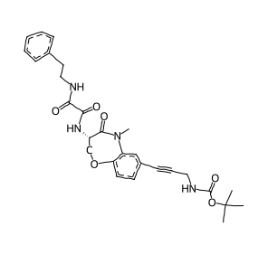 CN1C(=O)[C@@H](NC(=O)C(=O)NCCc2ccccc2)COc2ccc(C#CCNC(=O)OC(C)(C)C)cc21